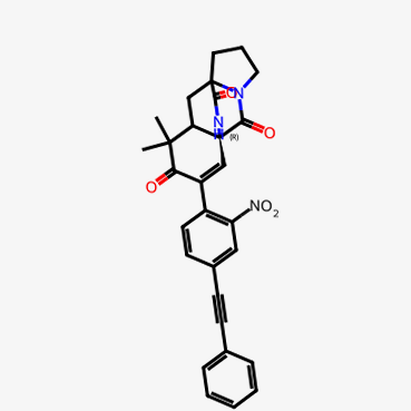 CC1(C)C(=O)C(c2ccc(C#Cc3ccccc3)cc2[N+](=O)[O-])=C[C@@]23NC(=O)C4(CCCN4C2=O)CC13